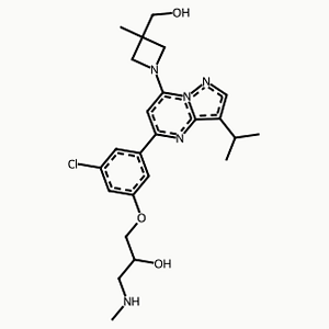 CNCC(O)COc1cc(Cl)cc(-c2cc(N3CC(C)(CO)C3)n3ncc(C(C)C)c3n2)c1